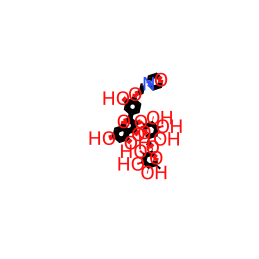 C[C@@H]1O[C@@H](OC[C@H]2O[C@@H](Oc3c(-c4ccc(OCCN5CCOCC5)c(O)c4)oc4cc(O)cc(O)c4c3=O)[C@H](O)[C@@H](O)[C@@H]2O)[C@H](O)[C@H](O)[C@H]1O